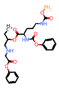 CCC(CNCC(=O)Oc1ccccc1)OC(=O)C(CCCNC(=O)OP)NC(=O)Oc1ccccc1